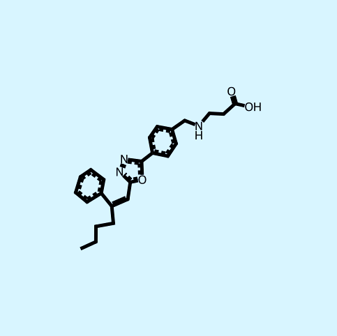 CCCCC(=Cc1nnc(-c2ccc(CNCCC(=O)O)cc2)o1)c1ccccc1